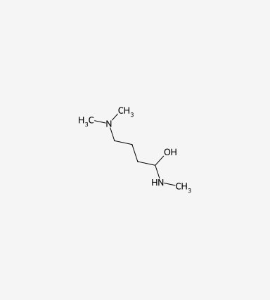 CNC(O)CCCN(C)C